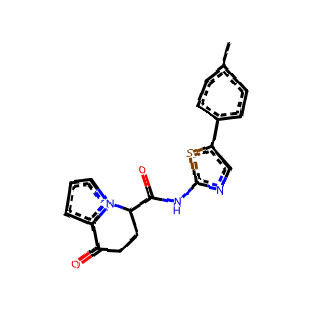 Cc1ccc(-c2cnc(NC(=O)C3CCC(=O)c4cccn43)s2)cc1